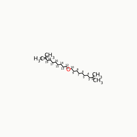 CC(C)CCCCCCCCOCCCCCCCCC(C)C